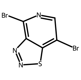 Brc1ncc(Br)c2snnc12